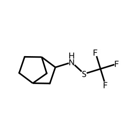 FC(F)(F)SNC1CC2CCC1C2